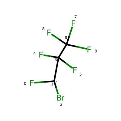 F[C](Br)C(F)(F)C(F)(F)F